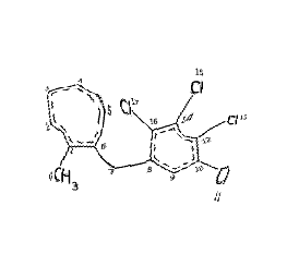 Cc1ccccc1Cc1cc(Cl)c(Cl)c(Cl)c1Cl